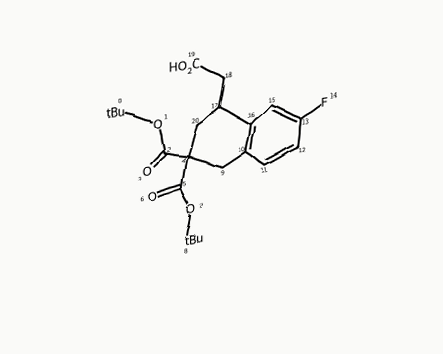 CC(C)(C)OC(=O)C1(C(=O)OC(C)(C)C)Cc2ccc(F)cc2C(CC(=O)O)C1